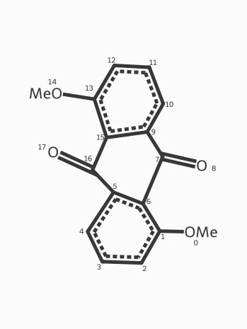 COc1cccc2c1C(=O)c1cccc(OC)c1C2=O